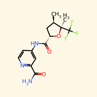 C[C@@H]1C[C@@H](C(=O)Nc2ccnc(C(N)=O)c2)O[C@]1(C)C(F)(F)F